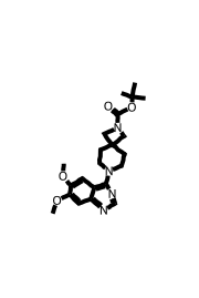 COc1cc2ncnc(N3CCC4(CC3)CN(C(=O)OC(C)(C)C)C4)c2cc1OC